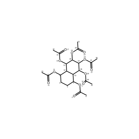 CC(=O)OC1CCC(OC(C)=O)C2C(OC(C)=O)C(OC(C)=O)C(OC(C)=O)C(OC(C)=O)C12